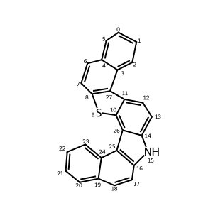 c1ccc2c(c1)ccc1sc3c(ccc4[nH]c5ccc6ccccc6c5c43)c12